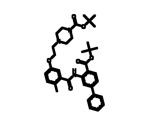 Cc1ccc(OCCN2CCN(C(=O)OC(C)(C)C)CC2)cc1C(=O)Nc1cc(-c2ccccc2)ccc1C(=O)OC(C)(C)C